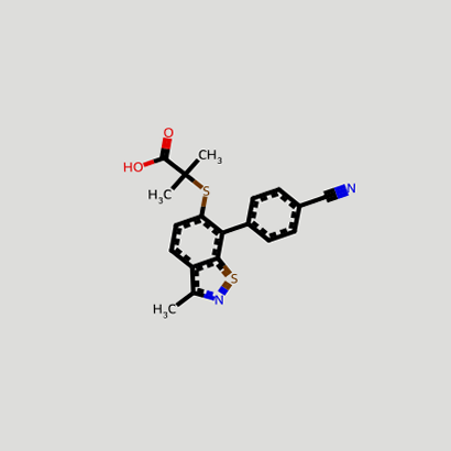 Cc1nsc2c(-c3ccc(C#N)cc3)c(SC(C)(C)C(=O)O)ccc12